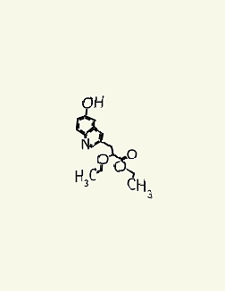 CCOC(=O)C(Cc1cnc2ccc(O)cc2c1)OCC